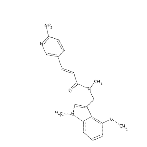 COc1cccc2c1c(CN(C)C(=O)C=Cc1ccc(N)nc1)cn2C